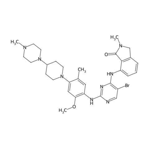 COc1cc(N2CCC(N3CCN(C)CC3)CC2)c(C)cc1Nc1ncc(Br)c(Nc2cccc3c2C(=O)N(C)C3)n1